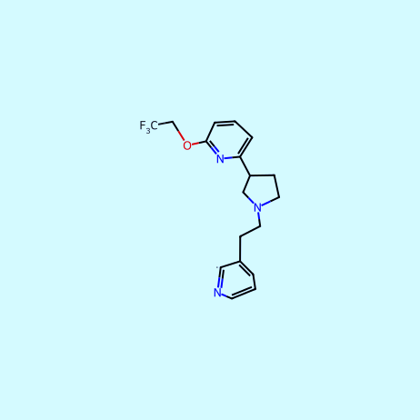 FC(F)(F)COc1cccc(C2CCN(CCc3[c]nccc3)C2)n1